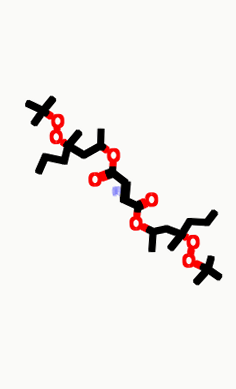 CCCC(C)(CC(C)OC(=O)/C=C/C(=O)OC(C)CC(C)(CCC)OOC(C)(C)C)OOC(C)(C)C